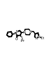 CCn1cc(CN2CCN(c3cnn(-c4ccccc4)c(=O)c3SC(C)C)CC2)cn1